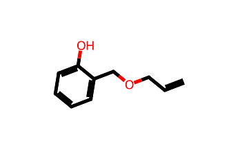 C=CCOCc1ccccc1O